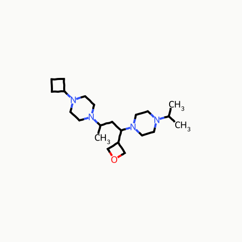 CC(C)N1CCN(C(CC(C)N2CCN(C3CCC3)CC2)C2COC2)CC1